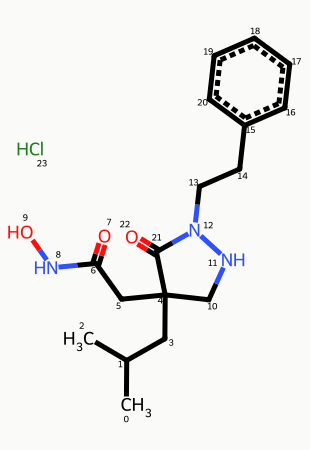 CC(C)CC1(CC(=O)NO)CNN(CCc2ccccc2)C1=O.Cl